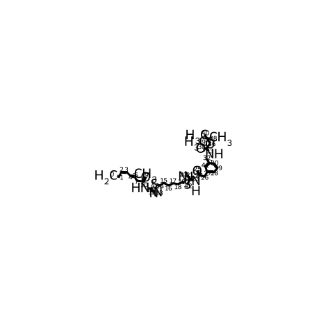 C=C/C=C\C=C(/C)CC(=O)Nc1nnc(CCCCc2nnc(NC(=O)Cc3cccc(CNC(=O)OC(C)(C)C)c3)s2)s1